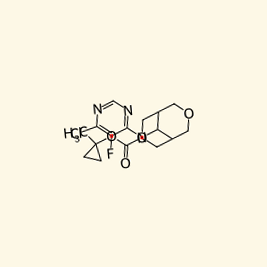 CC1(OC(=O)N2CC3COCC(C2)C3Oc2ncnc(Cl)c2F)CC1